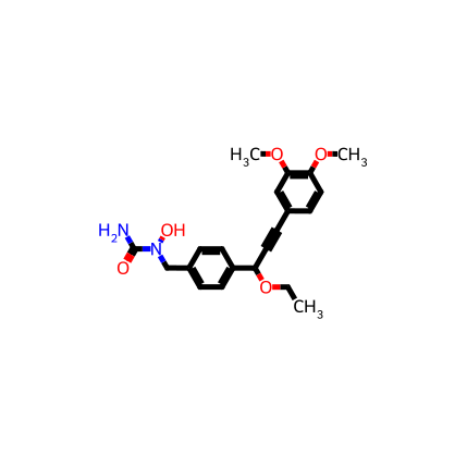 CCOC(C#Cc1ccc(OC)c(OC)c1)c1ccc(CN(O)C(N)=O)cc1